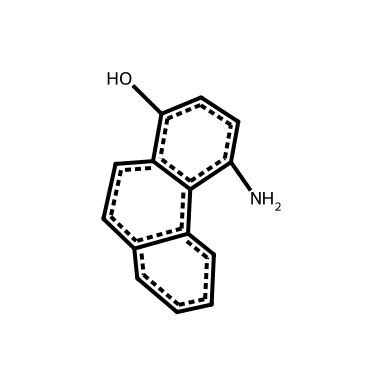 Nc1ccc(O)c2ccc3ccccc3c12